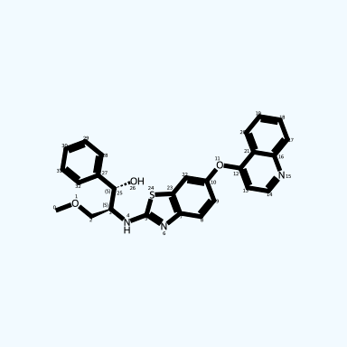 COC[C@H](Nc1nc2ccc(Oc3ccnc4ccccc34)cc2s1)[C@@H](O)c1ccccc1